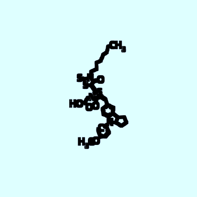 CCCCCCCCN1C(=O)/C(=c2\s/c(=C/c3ccc4c(c3)C3CCCC3N4c3ccc(OC)cc3)c(=O)n2CC(=O)O)SC1=S